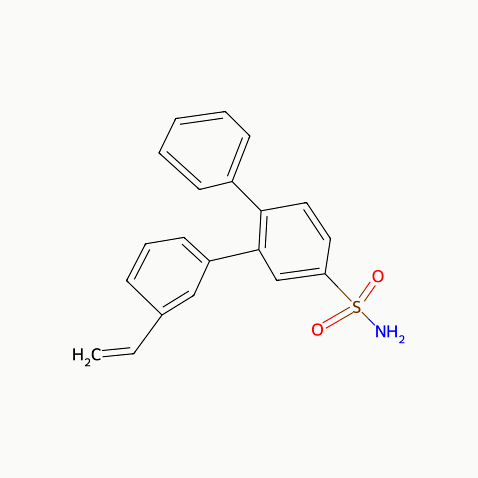 C=Cc1cccc(-c2cc(S(N)(=O)=O)ccc2-c2ccccc2)c1